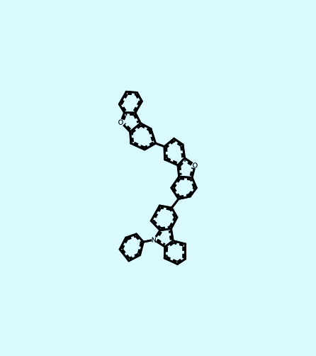 c1ccc(-n2c3ccccc3c3cc(-c4ccc5oc6ccc(-c7ccc8oc9ccccc9c8c7)cc6c5c4)ccc32)cc1